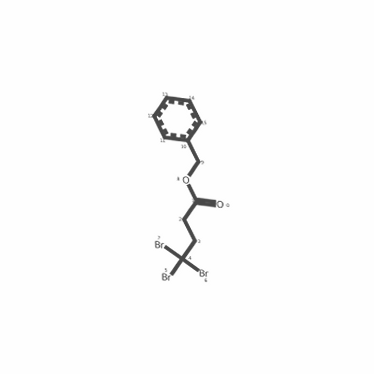 O=C(CCC(Br)(Br)Br)OCc1ccccc1